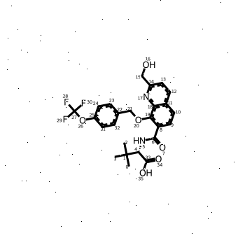 CC(C)(C)[C@H](NC(=O)c1ccc2ccc(CO)nc2c1OCc1ccc(OC(F)(F)F)cc1)C(=O)O